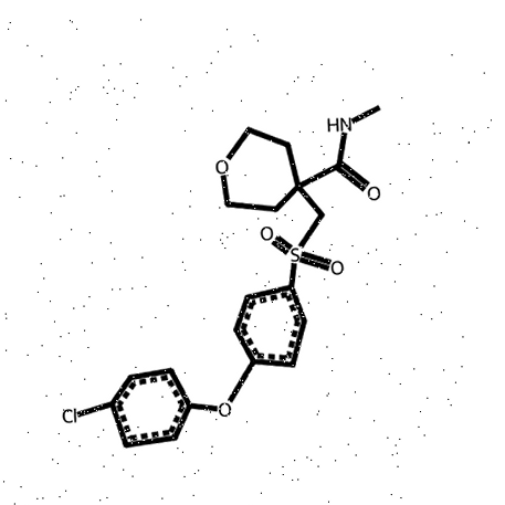 CNC(=O)C1(CS(=O)(=O)c2ccc(Oc3ccc(Cl)cc3)cc2)CCOCC1